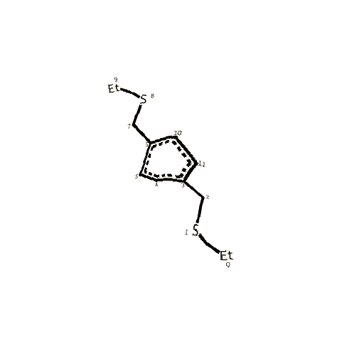 [CH2]CSCc1ccc(CSC[CH2])cc1